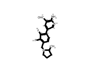 CC1CCCN1Cc1ccc(-c2cnc(N)c(C=O)c2)c(F)c1F